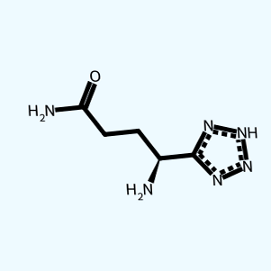 NC(=O)CC[C@H](N)c1nn[nH]n1